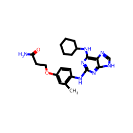 Cc1cc(OCCC(N)=O)ccc1Nc1nc(NC2CCCCC2)c2nc[nH]c2n1